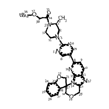 C[C@H]1CN(c2ncc(-c3ccc4nc5n(c4n3)C3(COC5)COc4ccccc43)cn2)CCN1C(=O)COC(C)(C)C